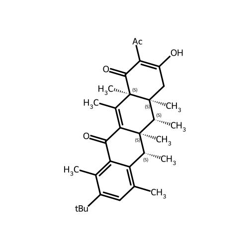 CC(=O)C1=C(O)C[C@@]2(C)[C@H](C)[C@]3(C)C(=C(C)[C@@]2(C)C1=O)C(=O)c1c(C)c(C(C)(C)C)cc(C)c1[C@H]3C